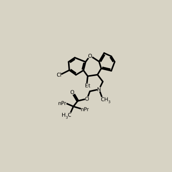 CCCC(C)(CCC)C(=O)OCN(C)CC1c2ccccc2Oc2ccc(Cl)cc2C1CC